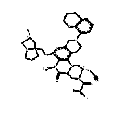 C=C(F)C(=O)N1CC2C(=O)N(C)c3c(OCC45CCCN4C[C@H](F)C5)nc4c(c3N2C[C@@H]1CC#N)CCN(c1cccc2c1SCCC2)C4